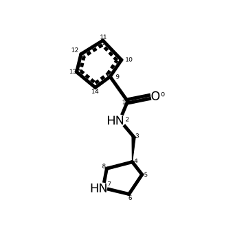 O=C(NC[C@H]1CCNC1)c1ccccc1